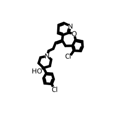 OC1(c2ccc(Cl)cc2)CCN(CCC=C2Cc3c(Cl)cccc3Oc3ncccc32)CC1